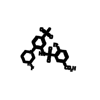 CCc1ccc(C(=O)O)cc1S(=O)(=O)Nc1cc(S(C)(=O)=O)ccc1N1CCC[C@@H](F)C1